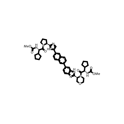 COC(=O)N[C@H](C(=O)N1CCC[C@H]1c1ncc(-c2ccc3cc(-c4ccc5nc([C@@H]6COCCN6C(=O)[C@@H](NC(=O)OC)C6CCCC6)[nH]c5c4)ccc3c2)[nH]1)C1CCCC1